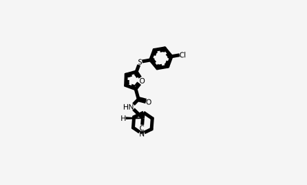 O=C(N[C@H]1CN2CCC1CC2)c1ccc(Sc2ccc(Cl)cc2)o1